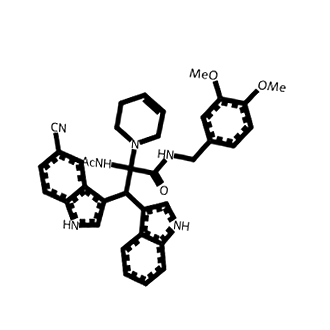 COc1ccc(CNC(=O)C(NC(C)=O)(C(c2c[nH]c3ccccc23)c2c[nH]c3ccc(C#N)cc23)N2CC=CCC2)cc1OC